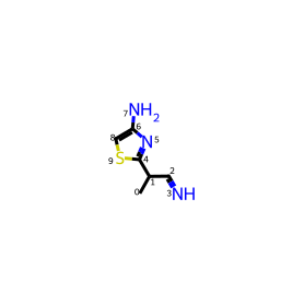 CC(C=N)c1nc(N)cs1